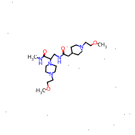 CNC(=O)C(CNC(=O)CC1CCN(CCOC)CC1)N1CCN(CCOC)CC1